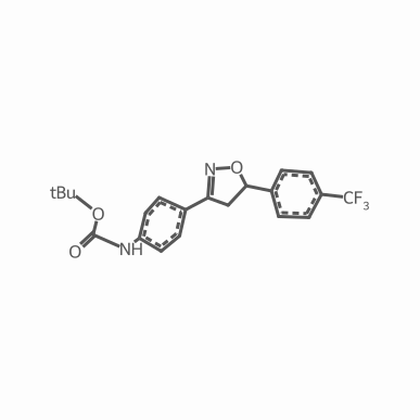 CC(C)(C)OC(=O)Nc1ccc(C2=NOC(c3ccc(C(F)(F)F)cc3)C2)cc1